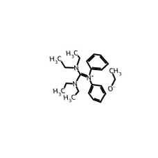 CCN(CC)C(N(CC)CC)=[N+](c1ccccc1)c1ccccc1.CC[O-]